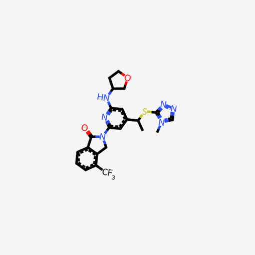 CC(Sc1nncn1C)c1cc(NC2CCOC2)nc(N2Cc3c(cccc3C(F)(F)F)C2=O)c1